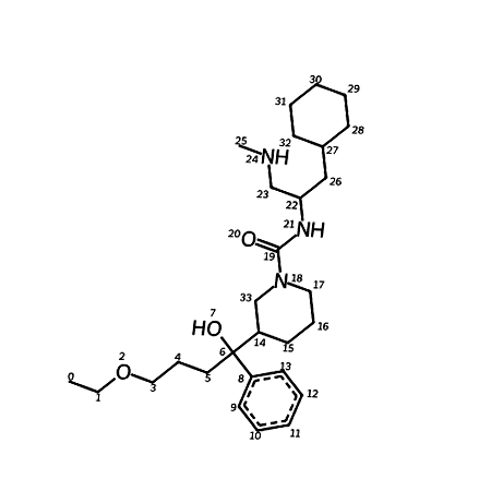 CCOCCCC(O)(c1ccccc1)C1CCCN(C(=O)NC(CNC)CC2CCCCC2)C1